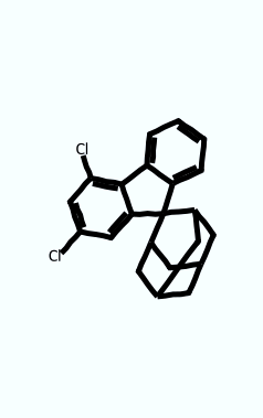 Clc1cc(Cl)c2c(c1)C1(c3ccccc3-2)C2CC3CC(C2)CC1C3